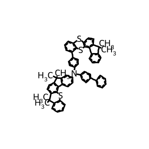 CC1(C)c2ccccc2Sc2c1ccc1c2-c2ccc(N(c3ccc(-c4ccccc4)cc3)c3ccc(-c4cccc5c4Sc4c(ccc6c4-c4ccccc4C6(C)C)S5)cc3)cc2C1(C)C